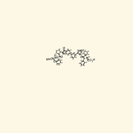 COC(=O)N[C@@H](C(=O)N1CCC[C@H]1c1nc2cc(-c3cccc(-c4c[nH]c([C@@H]5CCCN5C(=O)[C@@H](c5ccccc5)N(C)C(=O)O)n4)c3)ccc2[nH]1)c1ccccc1